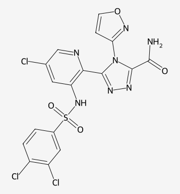 NC(=O)c1nnc(-c2ncc(Cl)cc2NS(=O)(=O)c2ccc(Cl)c(Cl)c2)n1-c1ccon1